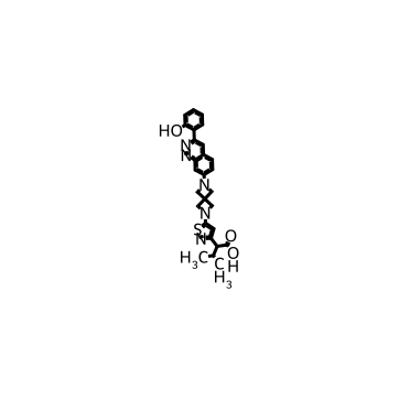 CC(C)C(C(=O)O)c1cc(N2CC3(CN(c4ccc5cc(-c6ccccc6O)nnc5c4)C3)C2)sn1